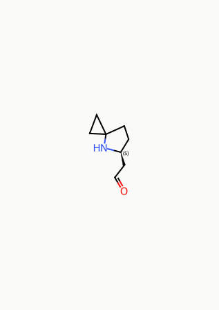 O=CC[C@@H]1CCC2(CC2)N1